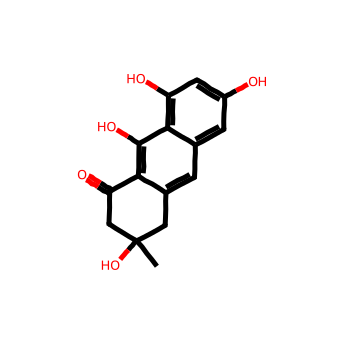 CC1(O)CC(=O)c2c(cc3cc(O)cc(O)c3c2O)C1